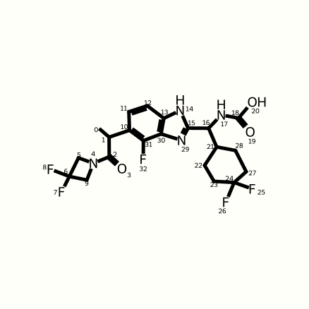 CC(C(=O)N1CC(F)(F)C1)c1ccc2[nH]c(C(NC(=O)O)C3CCC(F)(F)CC3)nc2c1F